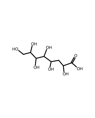 O=C(O)C(O)CC(O)C(O)C(O)C(O)CO